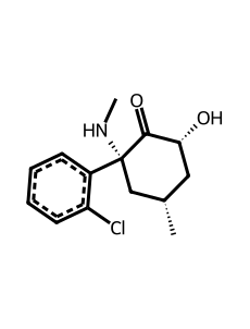 CN[C@@]1(c2ccccc2Cl)C[C@@H](C)C[C@@H](O)C1=O